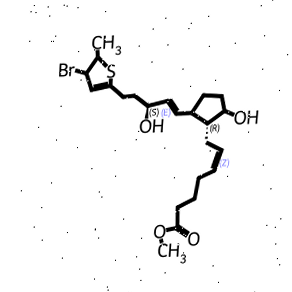 COC(=O)CCC/C=C\C[C@H]1C(O)CCC1/C=C/[C@@H](O)CCC1=CC(Br)C(C)S1